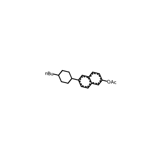 CCCCC1CCC(c2ccc3cc(OC(C)=O)ccc3c2)CC1